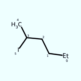 [CH2]CCCC(C)I